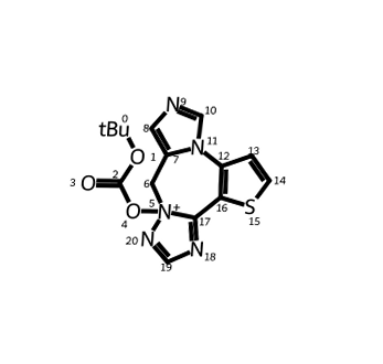 CC(C)(C)OC(=O)O[N+]12Cc3cncn3-c3ccsc3C1=NC=N2